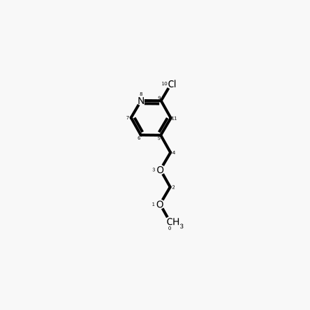 COCOCc1ccnc(Cl)c1